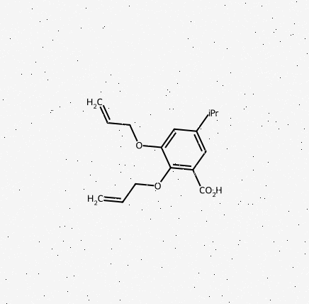 C=CCOc1cc(C(C)C)cc(C(=O)O)c1OCC=C